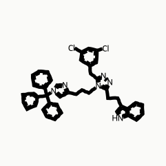 Clc1cc(Cl)cc(Cc2nnc(CCc3c[nH]c4ccccc34)n2CCCc2cn(C(c3ccccc3)(c3ccccc3)c3ccccc3)cn2)c1